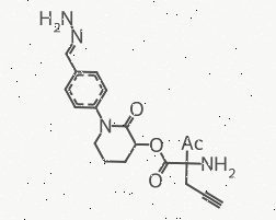 C#CCC(N)(C(C)=O)C(=O)OC1CCCN(c2ccc(C=NN)cc2)C1=O